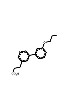 O=C(O)CCc1cncc(-c2cccc(OCCF)c2)c1